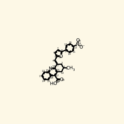 CC1C/C(=C\c2ccc(-c3ccc([N+](=O)[O-])cc3)o2)c2nc3ccccc3c(C(=O)O)c2C1